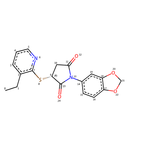 CCc1cccnc1S[C@@H]1CC(=O)N(c2ccc3c(c2)OCO3)C1=O